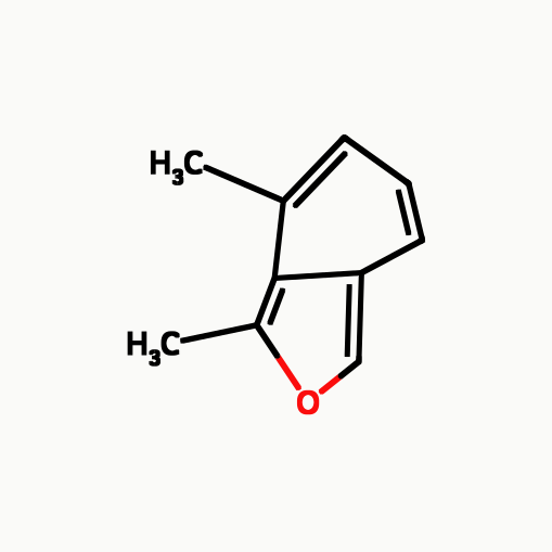 Cc1cccc2coc(C)c12